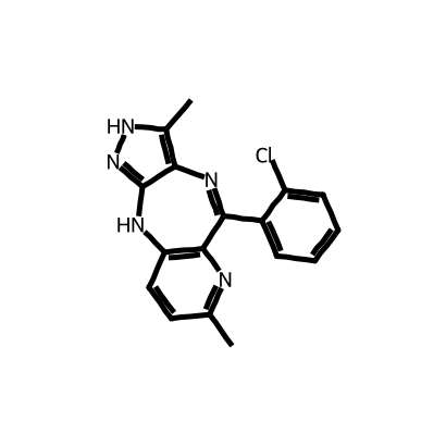 Cc1ccc2c(n1)C(c1ccccc1Cl)=Nc1c(n[nH]c1C)N2